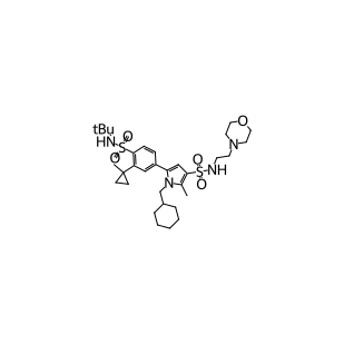 Cc1c(S(=O)(=O)NCCN2CCOCC2)cc(-c2ccc(S(=O)(=O)NC(C)(C)C)c(C3(C)CC3)c2)n1CC1CCCCC1